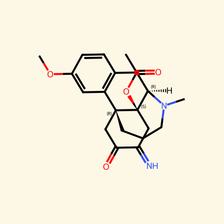 COc1ccc2c(c1)[C@]13CCCN(C)[C@H](C2)[C@]1(OC(C)=O)CC(=N)C(=O)C3